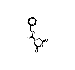 O=C1CN(C(=O)OCc2ccccc2)CC(=O)O1